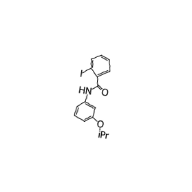 CC(C)Oc1cccc(NC(=O)c2ccccc2I)c1